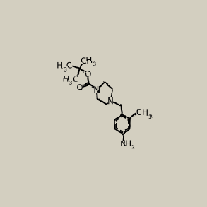 Cc1cc(N)ccc1CN1CCN(C(=O)OC(C)(C)C)CC1